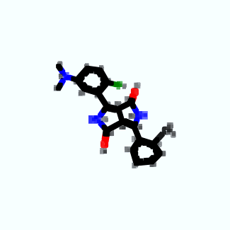 CN(C)c1ccc(F)c(C2=C3C(=O)NC(c4ccccc4C(F)(F)F)=C3C(=O)N2)c1